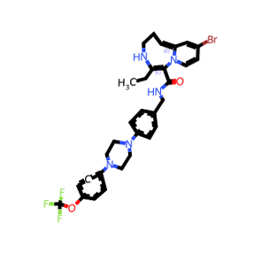 CC/C1=C(\C(=O)NCc2ccc(N3CCN(c4ccc(OC(F)(F)F)cc4)CC3)cc2)N2C=CC(Br)=C/C2=C\CCN1